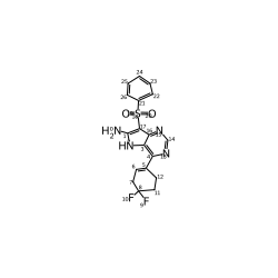 Nc1[nH]c2c(C3=CCC(F)(F)CC3)ncnc2c1S(=O)(=O)c1ccccc1